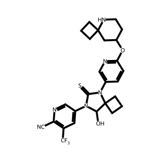 N#Cc1ncc(N2C(=S)N(c3ccc(OC4CCNC5(CCC5)C4)nc3)C3(CCC3)C2O)cc1C(F)(F)F